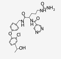 CC(O)c1ccc(Oc2ccc(CNC(=O)C(CCCNC(N)=O)NC(=O)c3cncnc3)cc2)c(Cl)c1